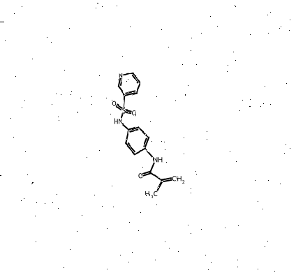 C=C(C)C(=O)Nc1ccc(NS(=O)(=O)c2cccnc2)cc1